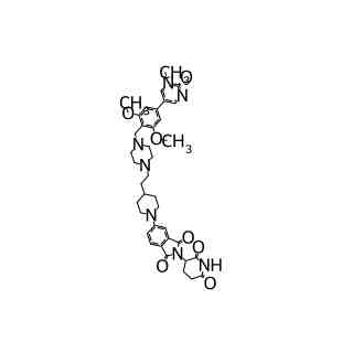 COc1cc(-c2cnc(=O)n(C)c2)cc(OC)c1CN1CCN(CCC2CCN(c3ccc4c(c3)C(=O)N(C3CCC(=O)NC3=O)C4=O)CC2)CC1